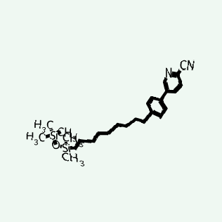 C[Si](C)(C)O[Si](C)(C)CCCCCCCCCc1ccc(-c2ccc(C#N)nc2)cc1